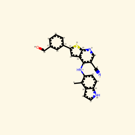 Cc1c(Nc2c(C#N)cnc3sc(-c4cccc(C=O)c4)cc23)ccc2[nH]ccc12